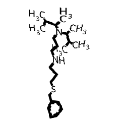 CC(C)C(C)N(CCCNCCCSCc1ccccc1)C(C)C(C)C